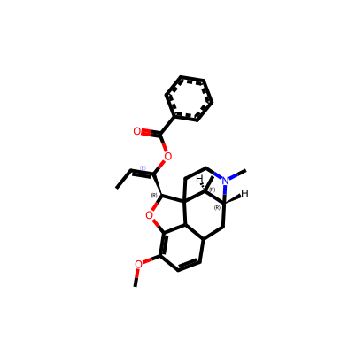 C/C=C(/OC(=O)c1ccccc1)[C@@H]1OC2=C(OC)C=CC3C[C@@H]4[C@H](C)C1(CCN4C)C23